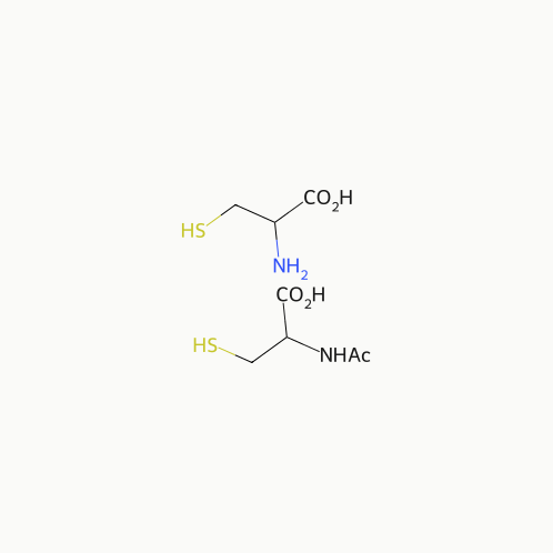 CC(=O)NC(CS)C(=O)O.NC(CS)C(=O)O